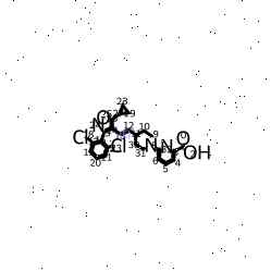 O=C(O)c1cccc(N2CCC(/C=C/c3c(-c4c(Cl)cccc4Cl)noc3C3CC3)CC2)n1